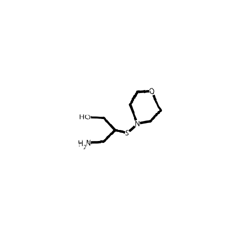 NCC(CO)SN1CCOCC1